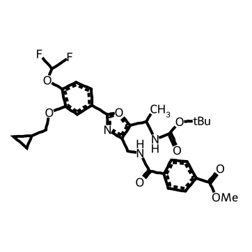 COC(=O)c1ccc(C(=O)NCc2nc(-c3ccc(OC(F)F)c(OCC4CC4)c3)oc2C(C)NC(=O)OC(C)(C)C)cc1